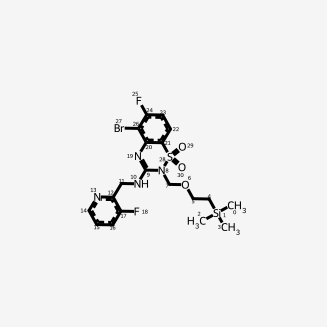 C[Si](C)(C)CCOCN1C(NCc2ncccc2F)=Nc2c(ccc(F)c2Br)S1(=O)=O